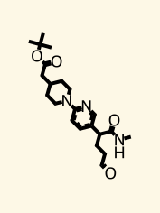 CNC(=O)C(CCC=O)c1ccc(N2CCC(CC(=O)OC(C)(C)C)CC2)nc1